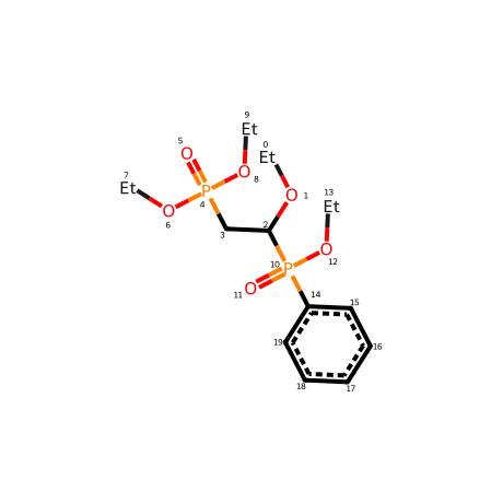 CCOC(CP(=O)(OCC)OCC)P(=O)(OCC)c1ccccc1